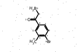 BCC(=O)c1ccc(Br)c(C)c1